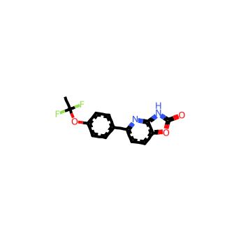 CC(F)(F)Oc1ccc(-c2ccc3oc(=O)[nH]c3n2)cc1